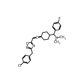 CN(C)C(c1ccc(F)cc1)C1CCC(=C=Cc2nc(Cc3ccc(Cl)cc3)no2)CC1